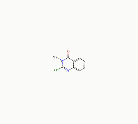 CCCn1c(Cl)nc2ccccc2c1=O